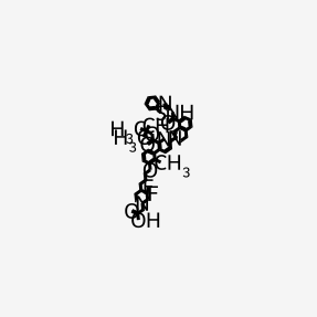 Cc1c(OCCCC2CCN(CC(=O)O)CC2(F)F)cccc1-c1ccc(N2CCc3cccc(C(=O)Nc4nc5ccccc5s4)c3C2)nc1C(=O)OC(C)(C)C